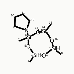 C[SiH]1O[SiH](C)O[Si](C)(N2CCCC2)O[SiH](C)O1